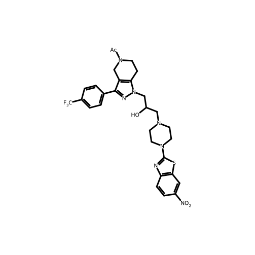 CC(=O)N1CCc2c(c(-c3ccc(C(F)(F)F)cc3)nn2CC(O)CN2CCN(c3nc4ccc([N+](=O)[O-])cc4s3)CC2)C1